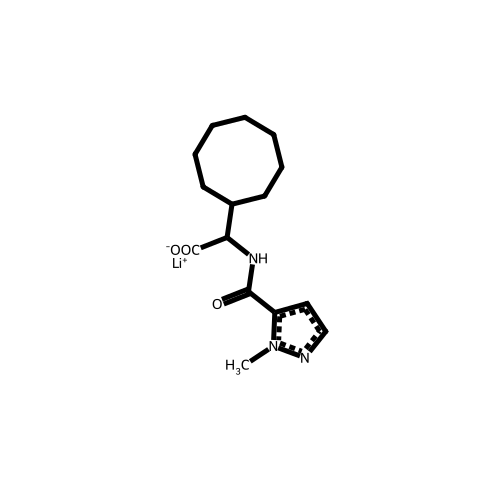 Cn1nccc1C(=O)NC(C(=O)[O-])C1CCCCCCC1.[Li+]